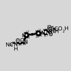 CC(C)[C@@H](NS(=O)(=O)N1CCN(c2ccc(C#Cc3ccnc(-c4ncc(CC(=O)NCC#N)o4)c3)cc2)CC1)C(=O)O